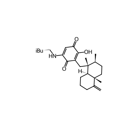 C=C1CCC[C@H]2[C@](C)(CC3=C(O)C(=O)C=C(NC[C@@H](C)CC)C3=O)[C@@H](C)CC[C@]12C